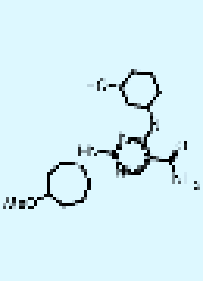 CO[C@@H]1CCC[C@@H](Nc2ncc(C(N)=O)c(N[C@@H]3CCC[C@H](O)C3)n2)CC1